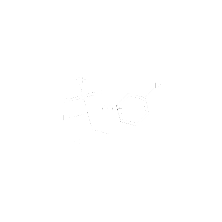 CCC(Cc1ccc(Br)cc1)[C@](C)(C(=O)O)S(C)(=O)=O